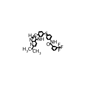 Cc1ccc(Sc2ccc(NC(=O)c3cccc(C(F)(F)F)c3)cc2)cc1Nc1ncnc2nc(C(C)C)ccc12